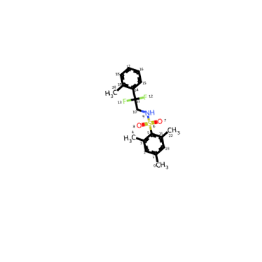 Cc1cc(C)c(S(=O)(=O)NCC(F)(F)c2ccccc2C)c(C)c1